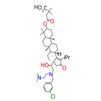 CC(C)C1=C2[C@H]3CCC4[C@@]5(C)CC[C@H](OC(=O)CC(C)(C)C(=O)O)C(C)(C)C5CC[C@@]4(C)[C@]3(C)CC[C@@]2([C@H](O)CN(CCN(C)C)Cc2cccc(Cl)c2)CC1=O